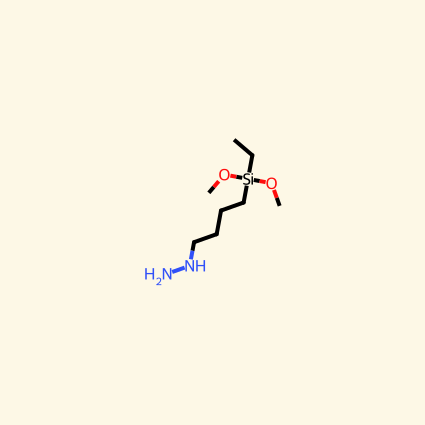 CC[Si](CCCCNN)(OC)OC